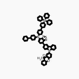 CC1(C)c2ccccc2Oc2ccc(-n3c4ccccc4c4cc(-c5ccc(N(c6ccc(-c7ccccc7)cc6)c6ccc(-c7ccc([Si](c8ccccc8)(c8ccccc8)c8ccccc8)cc7)cc6)c6nsnc56)ccc43)cc21